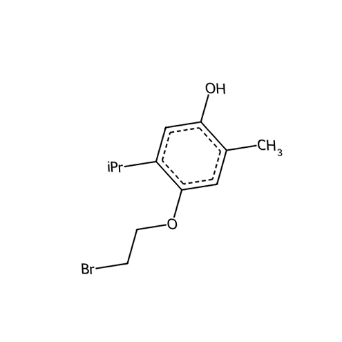 Cc1cc(OCCBr)c(C(C)C)cc1O